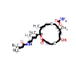 CC(C)=CC(=O)N/C=C/C(C)=C/C(C)[C@H]1C/C(C)=C/C=C/CC[C@H](OC(N)=O)[C@@H](C)/C=C/[C@@H](O)CCC/C=C/C(=O)O1